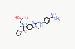 Cn1c(CNc2ccc(C(N)N)cc2)nc2cc([C@@](C)(NCC(O)O)C(=O)N3CCCC3)ccc21